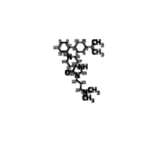 CC(C)C1CCC(c2ccccc2N2CCC3(CC2)NCN(CCCN(C)C)C3=O)CC1